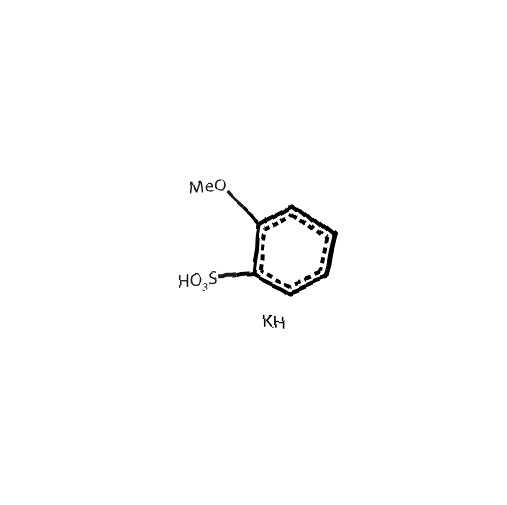 COc1ccccc1S(=O)(=O)O.[KH]